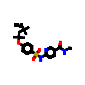 CCNC(=O)c1ccc(NS(=O)(=O)c2ccc(OC(C)(C)CC(C)(C)C(=O)O)cc2)nc1